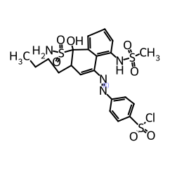 CCCCC1C=C(/N=N/c2ccc(S(=O)(=O)Cl)cc2)c2c(NS(C)(=O)=O)cccc2C1(O)S(N)(=O)=O